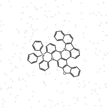 c1ccc([Si]2(c3ccccc3)c3ccccc3N3c4cc5oc6ccccc6c5c5c4B(c4cccc2c43)n2c3c-5cccc3c3ccc4ccccc4c32)cc1